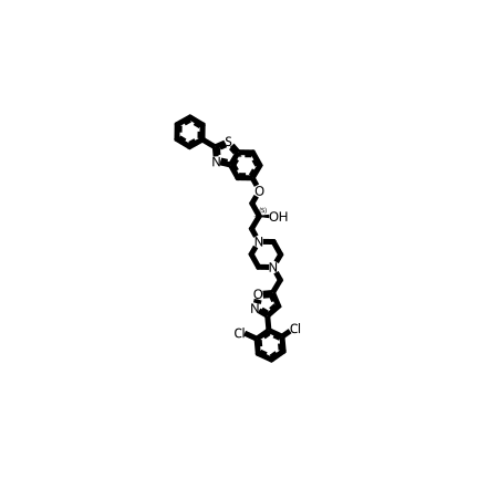 O[C@H](COc1ccc2sc(-c3ccccc3)nc2c1)CN1CCN(Cc2cc(-c3c(Cl)cccc3Cl)no2)CC1